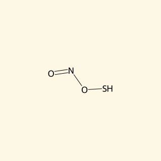 O=NOS